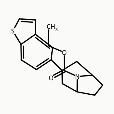 CCOC(=O)N1C2CCC1CC(c1ccc3sccc3c1)C2